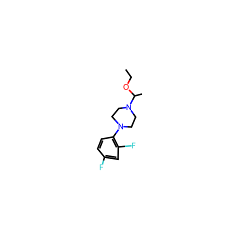 CCOC(C)N1CCN(c2ccc(F)cc2F)CC1